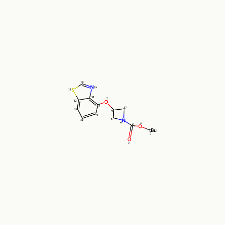 CC(C)(C)OC(=O)N1CC(Oc2cccc3scnc23)C1